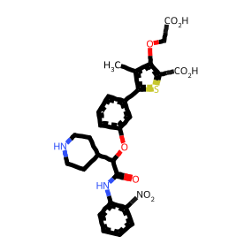 Cc1c(-c2cccc(OC(C(=O)Nc3ccccc3[N+](=O)[O-])C3CCNCC3)c2)sc(C(=O)O)c1OCC(=O)O